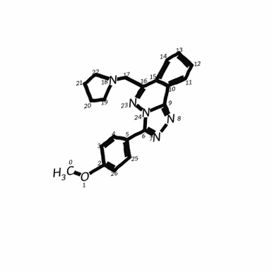 COc1ccc(-c2nnc3c4ccccc4c(CN4CCCC4)nn23)cc1